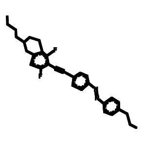 CCCCC1CCc2c(cc(F)c(C#Cc3ccc(N=Nc4ccc(CCC)cc4)cc3)c2F)C1